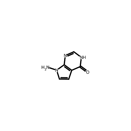 Nn1ccc2c(=O)[nH]cnc21